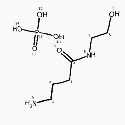 NCCCC(=O)NCCO.O=P(O)(O)O